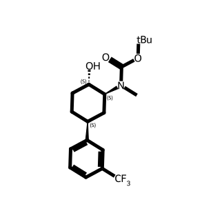 CN(C(=O)OC(C)(C)C)[C@H]1C[C@@H](c2cccc(C(F)(F)F)c2)CC[C@@H]1O